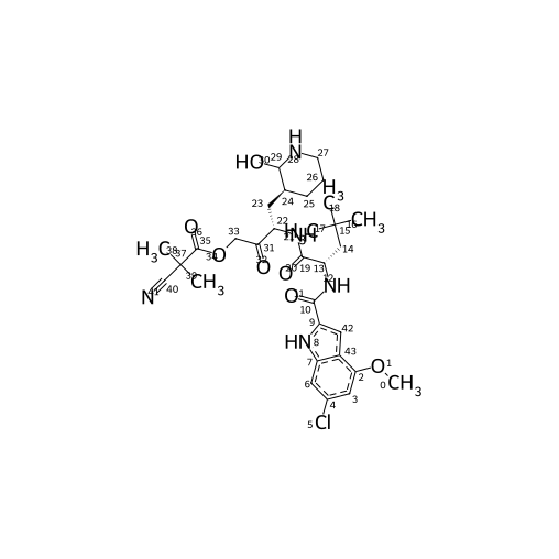 COc1cc(Cl)cc2[nH]c(C(=O)N[C@@H](CC(C)(C)C)C(=O)N[C@@H](C[C@@H]3CCCNC3O)C(=O)COC(=O)C(C)(C)C#N)cc12